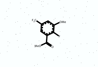 COC(=O)c1cc(C(F)(F)F)cc(OC)c1F